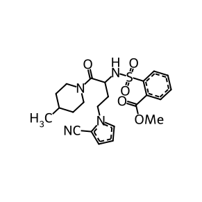 COC(=O)c1ccccc1S(=O)(=O)NC(CCn1cccc1C#N)C(=O)N1CCC(C)CC1